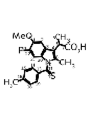 COc1cc2c(C(C)C(=O)O)c(C)n(C(=S)c3ccc(C)cc3)c2cc1F